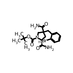 CC(C)(C)OC(=O)N1CC(Cc2ccccc2Br)(C(N)=O)C[C@H]1C(N)=O